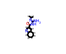 CC(C)N=C(N)NC(=O)c1cnc2c(c1)CCCCC2